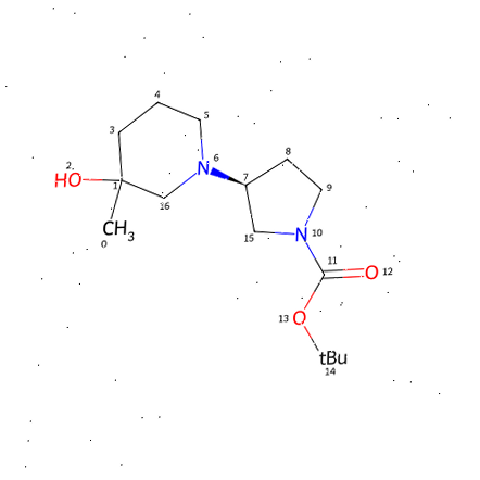 CC1(O)CCCN([C@H]2CCN(C(=O)OC(C)(C)C)C2)C1